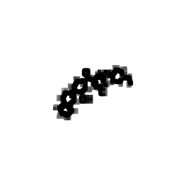 CCN1CCC(Nc2cc(C(=O)N3CC[C@@H](N4CCc5ccccc5C4)[C@H](O)C3)nc(Cl)n2)CC1